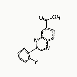 O=C(O)c1ccc2ncc(-c3ccccc3F)nc2c1